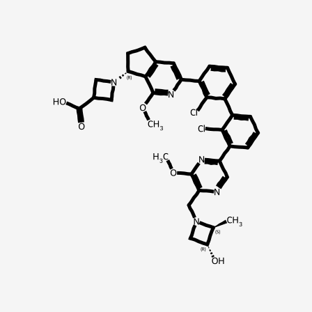 COc1nc(-c2cccc(-c3cccc(-c4cc5c(c(OC)n4)[C@H](N4CC(C(=O)O)C4)CC5)c3Cl)c2Cl)cnc1CN1C[C@@H](O)[C@@H]1C